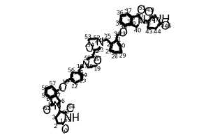 O=C1CCC(N2Cc3c(OCc4cccc(CN5CCOC(C6CN(Cc7ccccc7COc7cccc8c7CN(C7CCC(=O)NC7=O)C8=O)CCO6)C5)c4)cccc3C2=O)C(=O)N1